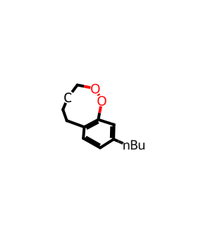 [CH2]CCCc1ccc2c(c1)OOCCCC2